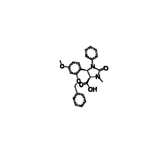 COc1ccc([C@@H]2[C@H](C(=O)O)N(C)C(=O)N2c2ccccc2)c(OCc2ccccc2)c1